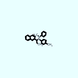 CCC(c1ccc2ccccc2c1)N(c1ccc(C)cc1)N(C)c1ccccc1